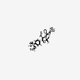 CC(C)(C)OC(=O)N1[C@H](CF)[C@@H](c2ccc(S(C)(=O)=NC#N)cc2)OC1(C)C